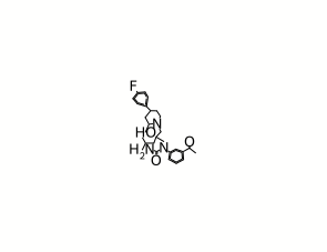 CC(=O)c1cccc(N(CC(O)(CC(C)C)CN2CCC(c3ccc(F)cc3)CC2C)C(N)=O)c1